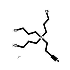 N#CCC[P+](CCCO)(CCCO)CCCO.[Br-]